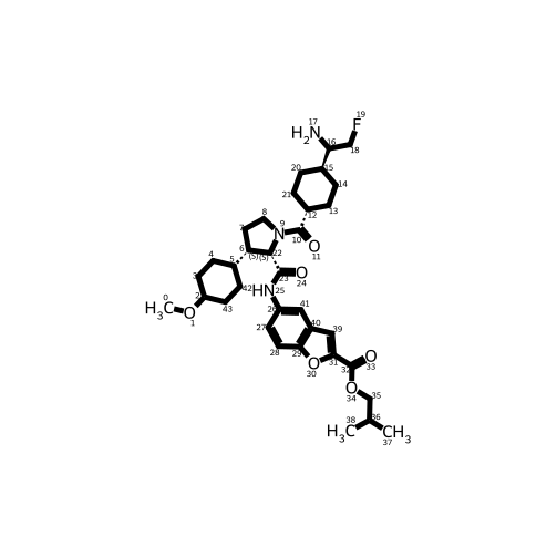 COC1CCC([C@@H]2CCN(C(=O)[C@H]3CC[C@H](C(N)CF)CC3)[C@@H]2C(=O)Nc2ccc3oc(C(=O)OCC(C)C)cc3c2)CC1